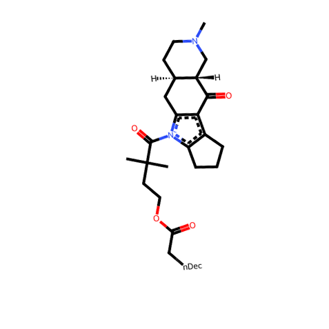 CCCCCCCCCCCC(=O)OCCC(C)(C)C(=O)n1c2c(c3c1C[C@H]1CCN(C)C[C@@H]1C3=O)CCC2